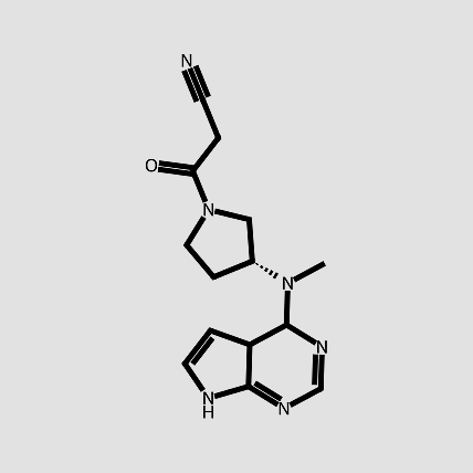 CN(C1N=CN=C2NC=CC21)[C@@H]1CCN(C(=O)CC#N)C1